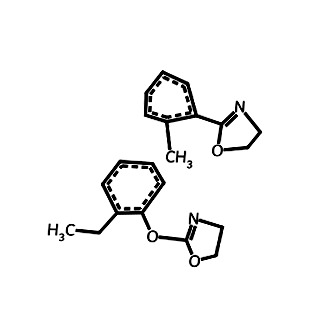 CCc1ccccc1OC1=NCCO1.Cc1ccccc1C1=NCCO1